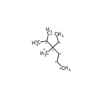 CCCC(C)(CC)[C](C)C